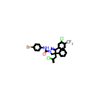 C=C(Cl)CC1(c2ccccc2)CN(C(=O)Nc2ccc(Br)cc2)N=C1c1ccc(C(F)(F)F)c(Cl)c1